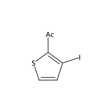 CC(=O)c1sccc1I